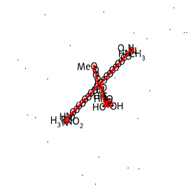 COCCOCCOCCOCCOc1c(OCCOCCOCCOCCOCCOCCOCCOCCOCCC(=O)NCCn2c([N+](=O)[O-])cnc2C)cc(C(=O)NCCCNC(=S)Nc2ccc3c(c2)C(=O)OC32c3ccc(O)cc3Cc3cc(O)ccc32)cc1OCCOCCOCCOCCOCCOCCOCCOCCOCCC(=O)NCCn1c([N+](=O)[O-])cnc1C